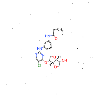 C=CC(=O)Nc1cccc(Nc2ncc(Cl)c(O[C@@H]3CO[C@H]4[C@@H]3OC[C@H]4O)n2)c1